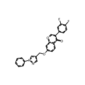 O=c1c(-c2ccc(F)c(F)c2)coc2cc(OCc3cnn(-c4ccccc4)c3)ccc12